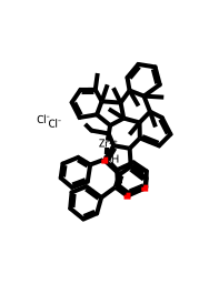 CCCC1=Cc2c(-c3ccccc3)cccc2C1C1=CC=CC2(C)C3(C)C=CC=CC3(C)C3(C)C4(C)C(C)=CC=CC4[CH]([Zr+2][SiH](c4ccccc4)c4ccccc4)C3(C)C12C.[Cl-].[Cl-]